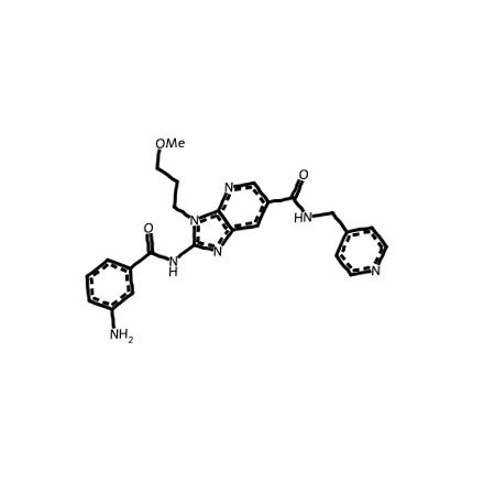 COCCCn1c(NC(=O)c2cccc(N)c2)nc2cc(C(=O)NCc3ccncc3)cnc21